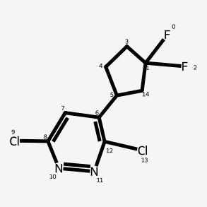 FC1(F)CCC(c2cc(Cl)nnc2Cl)C1